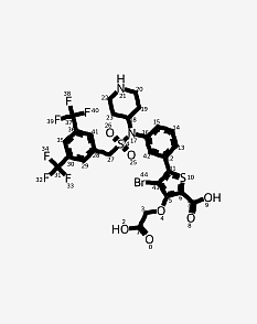 O=C(O)COc1c(C(=O)O)sc(-c2cccc(N(C3CCNCC3)S(=O)(=O)Cc3cc(C(F)(F)F)cc(C(F)(F)F)c3)c2)c1Br